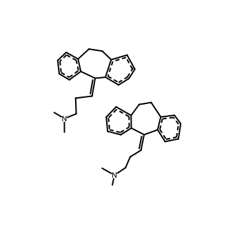 CN(C)CCC=C1c2ccccc2CCc2ccccc21.CN(C)CCC=C1c2ccccc2CCc2ccccc21